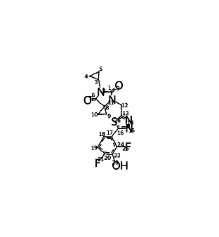 O=C1N(C2CC2)C(=O)C2(CC2)N1Cc1nnc(-c2ccc(F)c(O)c2F)s1